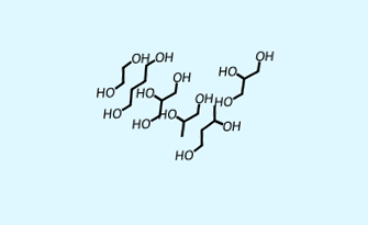 CC(O)CCO.CC(O)CO.OCC(O)CO.OCC(O)CO.OCCCCO.OCCO